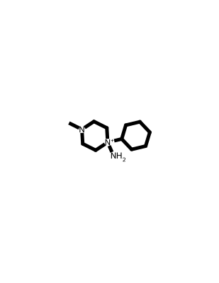 CN1CC[N+](N)(C2CCCCC2)CC1